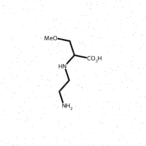 COCC(NCCN)C(=O)O